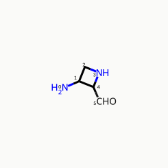 NC1CNC1C=O